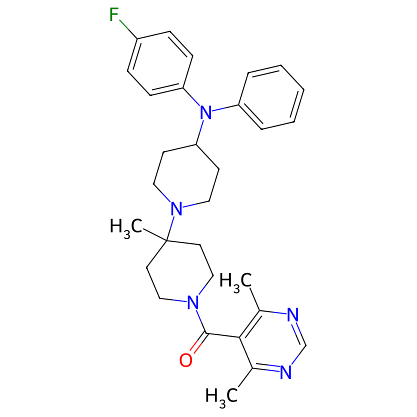 Cc1ncnc(C)c1C(=O)N1CCC(C)(N2CCC(N(c3ccccc3)c3ccc(F)cc3)CC2)CC1